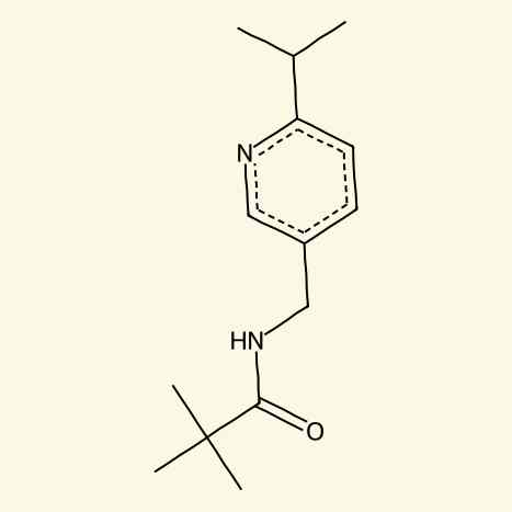 CC(C)c1ccc(CNC(=O)C(C)(C)C)cn1